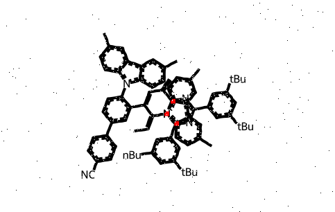 C=C(/C=C(\C(=C/C)n1c2ccc(C)cc2c2cc(C)ccc21)c1cc(-c2ccc(C#N)cc2)ccc1-n1c2ccc(C)cc2c2cc(C)ccc21)c1nc(-c2cc(CCCC)cc(C(C)(C)C)c2)nc(-c2cc(C(C)(C)C)cc(C(C)(C)C)c2)n1